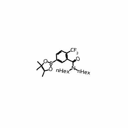 CCCCCCN(CCCCCC)C(=O)c1cc(B2OC(C)C(C)(C)O2)ccc1C(F)(F)F